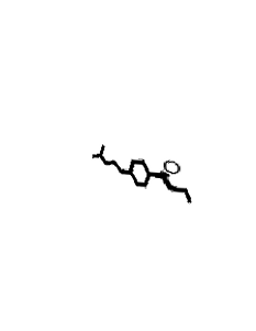 CCCC(=O)C1CCC(CCCC(C)C)CC1